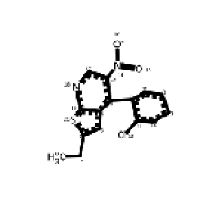 CCc1cc2c(-c3ccccc3Cl)c([N+](=O)[O-])cnc2s1